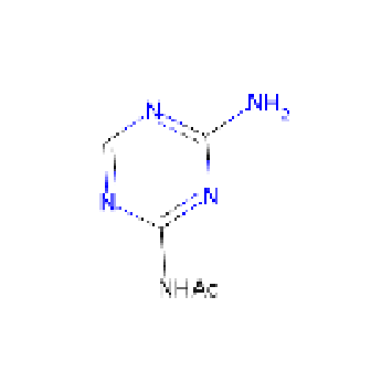 CC(=O)Nc1ncnc(N)n1